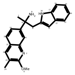 COc1nc2cc(C(C)(N)Cc3cc4ccccc4[nH]3)ccc2cc1C